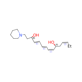 CC/C=C\C[C@H](O)\C=C/C=C/C=C/[C@H](O)CCN1CCCCC1